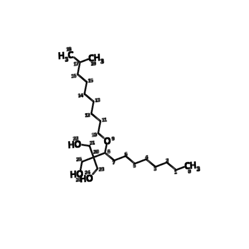 CCCCCCCCC(OCCCCCCCC(C)C)C(CO)(CO)CO